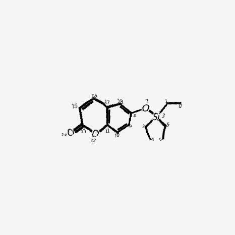 CC[Si](CC)(CC)Oc1ccc2oc(=O)ccc2c1